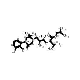 CC(C)CNC(=O)[C@@H](C[C@H](O)[C@@H](N)CN1CC(=O)N(c2cccc(F)c2F)CC1(C)C)C(C)C